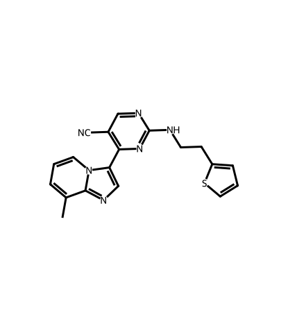 Cc1cccn2c(-c3nc(NCCc4cccs4)ncc3C#N)cnc12